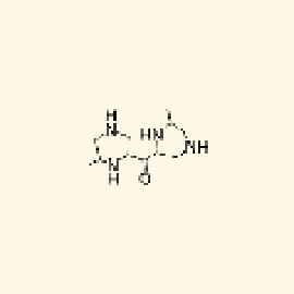 CC1CNCC(C(=O)C2CNCC(C)N2)N1